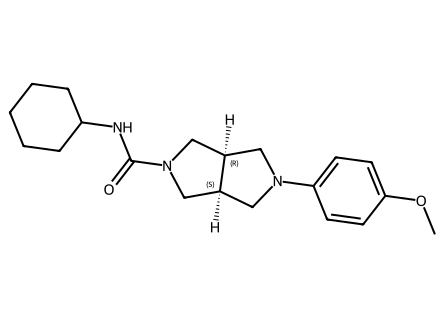 COc1ccc(N2C[C@H]3CN(C(=O)NC4CCCCC4)C[C@H]3C2)cc1